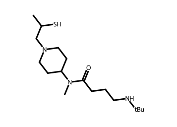 CC(S)CN1CCC(N(C)C(=O)CCCNC(C)(C)C)CC1